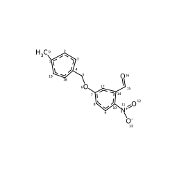 Cc1ccc(COc2ccc([N+](=O)[O-])c(C=O)c2)cc1